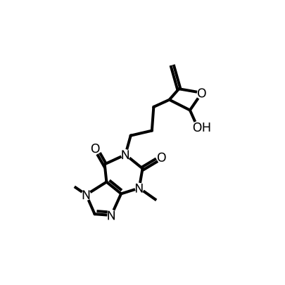 C=C1OC(O)C1CCCn1c(=O)c2c(ncn2C)n(C)c1=O